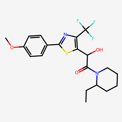 CCC1CCCCN1C(=O)C(O)c1sc(-c2ccc(OC)cc2)nc1C(F)(F)F